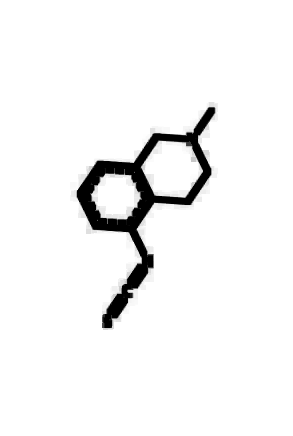 CN1CCc2c(cccc2N=C=S)C1